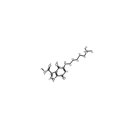 COC(=O)c1noc2c1C(=O)C(SCCCCCN(C)C)=CC2=O